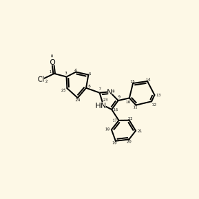 O=C(Cl)c1ccc(-c2nc(-c3ccccc3)c(-c3ccccc3)[nH]2)cc1